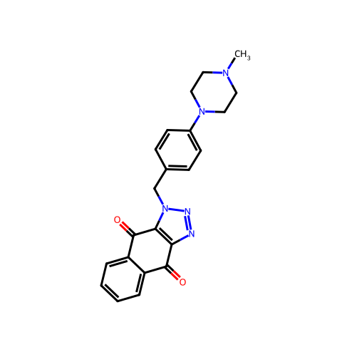 CN1CCN(c2ccc(Cn3nnc4c3C(=O)c3ccccc3C4=O)cc2)CC1